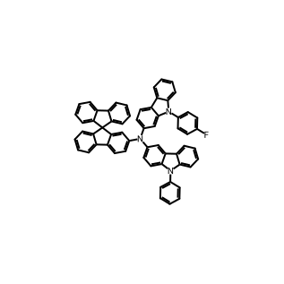 Fc1ccc(-n2c3ccccc3c3ccc(N(c4ccc5c(c4)C4(c6ccccc6-c6ccccc64)c4ccccc4-5)c4ccc5c(c4)c4ccccc4n5-c4ccccc4)cc32)cc1